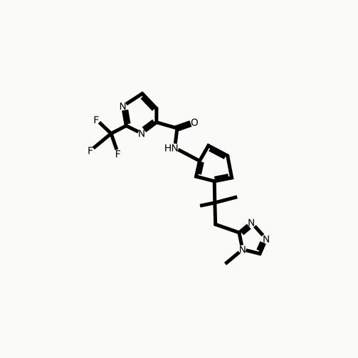 Cn1cnnc1CC(C)(C)c1cccc(NC(=O)c2ccnc(C(F)(F)F)n2)c1